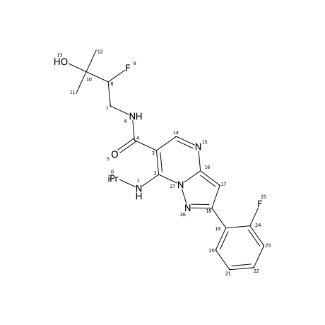 CC(C)Nc1c(C(=O)NCC(F)C(C)(C)O)cnc2cc(-c3ccccc3F)nn12